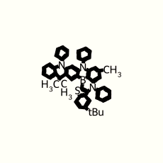 Cc1cc2c3c(c1)N(c1ccccc1)c1c(sc4ccc(C(C)(C)C)cc14)B3c1cc3c(cc1N2c1ccccc1)N(c1ccccc1)c1ccccc1C3(C)C